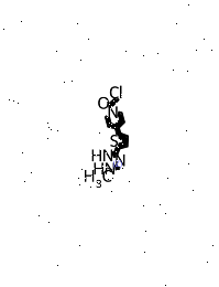 CN/C=N\C(=N)c1ccc(C2=CCN(C(=O)CCl)CC2)s1